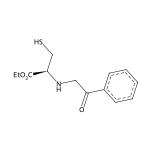 CCOC(=O)[C@@H](CS)NCC(=O)c1ccccc1